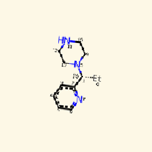 CC[C@H](c1ccccn1)N1CCNCC1